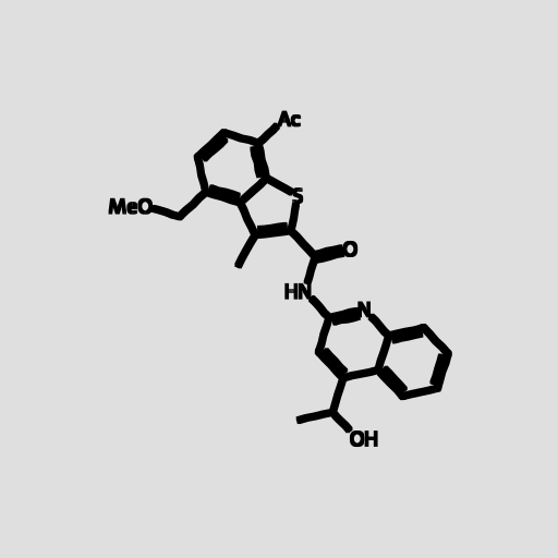 COCc1ccc(C(C)=O)c2sc(C(=O)Nc3cc(C(C)O)c4ccccc4n3)c(C)c12